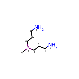 CP(CCCN)CCCN